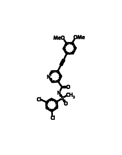 COc1ccc(C#Cc2cncc(C(=O)N=S(C)(=O)c3cc(Cl)cc(Cl)c3)c2)cc1OC